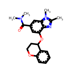 Cc1nc2c(OC3CCOc4ccccc43)cc(C(=O)N(C)C)cc2n1C